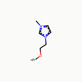 CCCOCCn1cc[n+](C)c1